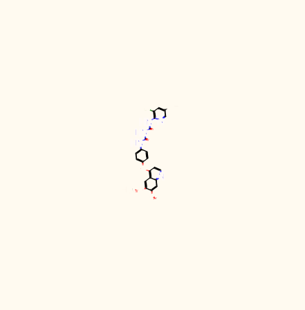 COc1cc2nccc(Oc3ccc(NC(=O)NC(=O)Nc4ncc(C)cc4Br)cc3)c2cc1OC